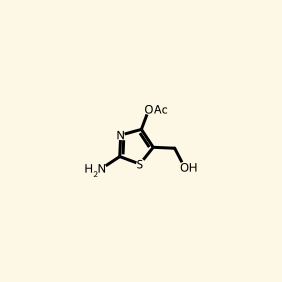 CC(=O)Oc1nc(N)sc1CO